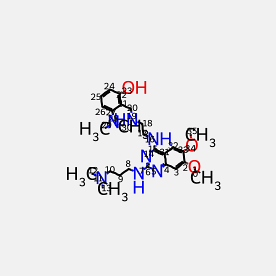 COc1cc2nc(NCCCN(C)C)nc(NCCNCc3c(O)cccc3N(C)C)c2cc1OC